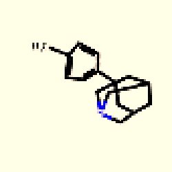 Cc1ccc(C23CC4CC(CN(C4)C2)C3)cc1